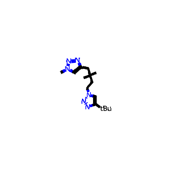 Cn1cc(CC(C)(C)CCn2cc(C(C)(C)C)nn2)nn1